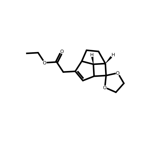 CCOC(=O)CC1=CC2[C@@H]3C1CC[C@@H]3C21OCCO1